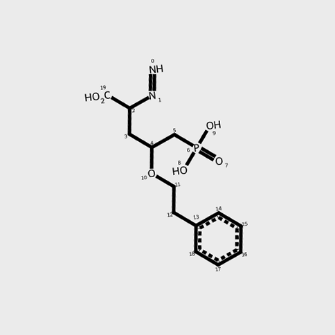 N=NC(CC(CP(=O)(O)O)OCCc1ccccc1)C(=O)O